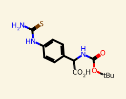 CC(C)(C)OC(=O)NC(C(=O)O)c1ccc(NC(N)=S)cc1